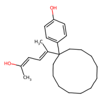 C/C(O)=C\C=C(/C)C1(c2ccc(O)cc2)CCCCCCCCCCC1